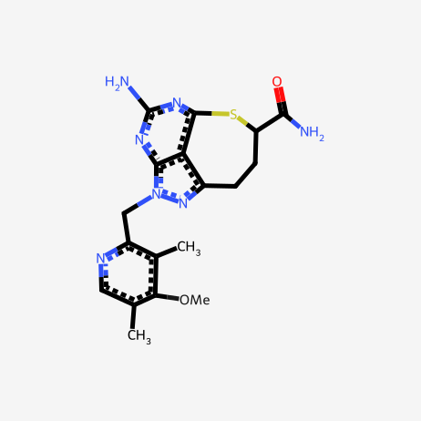 COc1c(C)cnc(Cn2nc3c4c(nc(N)nc42)SC(C(N)=O)CC3)c1C